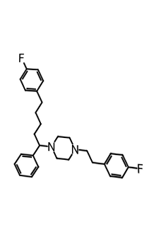 Fc1ccc(CCCCC(c2ccccc2)N2CCN(CCc3ccc(F)cc3)CC2)cc1